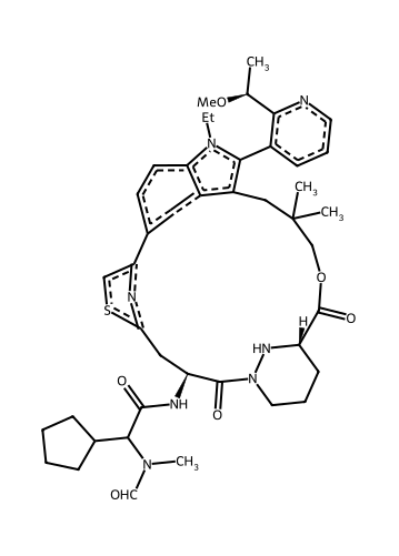 CCn1c(-c2cccnc2[C@H](C)OC)c2c3cc(ccc31)-c1csc(n1)C[C@H](NC(=O)C(C1CCCC1)N(C)C=O)C(=O)N1CCC[C@H](N1)C(=O)OCC(C)(C)C2